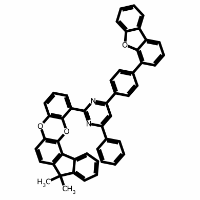 CC1(C)c2ccccc2-c2c1ccc1c2Oc2c(cccc2-c2nc(-c3ccccc3)cc(-c3ccc(-c4cccc5c4oc4ccccc45)cc3)n2)O1